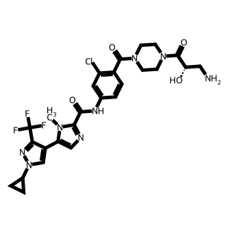 Cn1c(-c2cn(C3CC3)nc2C(F)(F)F)cnc1C(=O)Nc1ccc(C(=O)N2CCN(C(=O)[C@@H](O)CN)CC2)c(Cl)c1